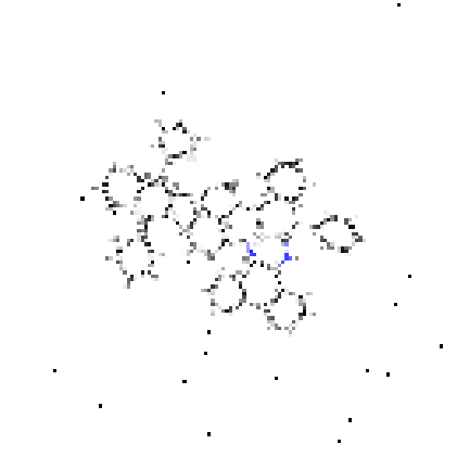 c1ccc(-c2nc3c(-c4ccccc4)c4ccccc4c(-c4ccc5c6c(cccc46)-c4c-5c(-c5ccccc5)c5ccccc5c4-c4ccccc4)c3nc2-c2ccccc2)cc1